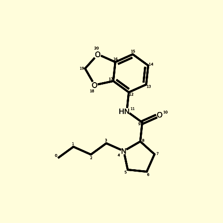 CCCCN1CCCC1C(=O)Nc1cccc2c1OCO2